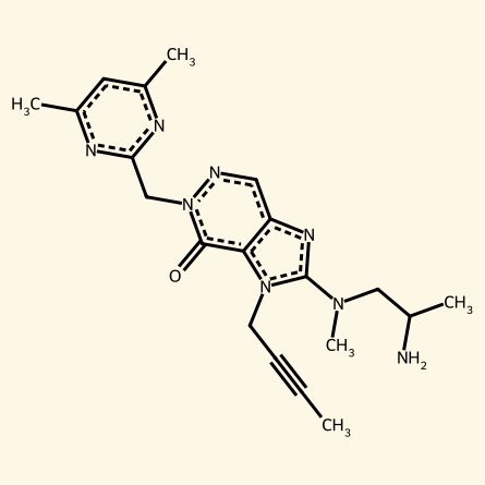 CC#CCn1c(N(C)CC(C)N)nc2cnn(Cc3nc(C)cc(C)n3)c(=O)c21